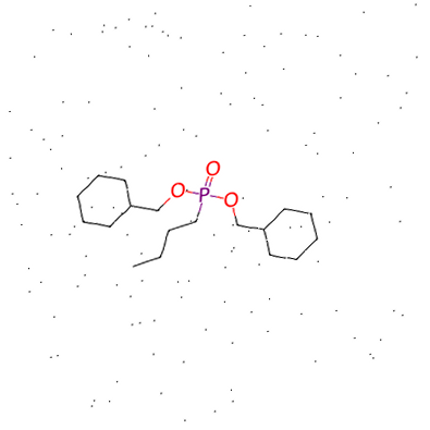 CCCCP(=O)(OCC1CCCCC1)OCC1CCCCC1